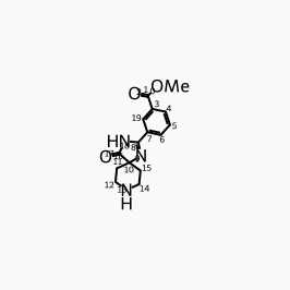 COC(=O)c1cccc(C2=NC3(CCNCC3)C(=O)N2)c1